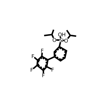 CC(C)O[Si](O)(OC(C)C)c1cccc(-c2c(F)c(F)c(F)c(F)c2F)c1